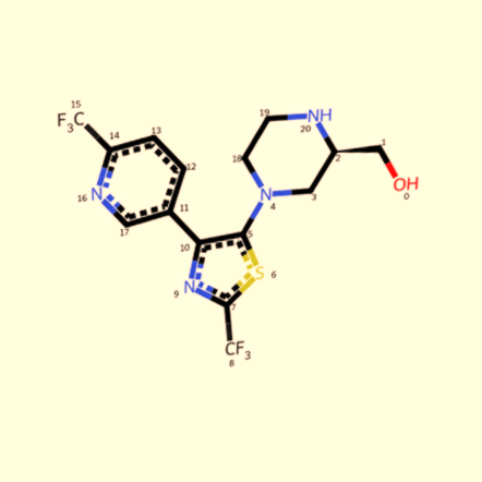 OC[C@H]1CN(c2sc(C(F)(F)F)nc2-c2ccc(C(F)(F)F)nc2)CCN1